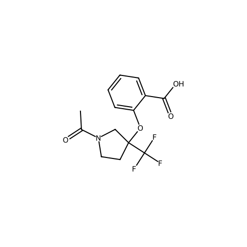 CC(=O)N1CCC(Oc2ccccc2C(=O)O)(C(F)(F)F)C1